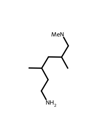 CNCC(C)CC(C)CCN